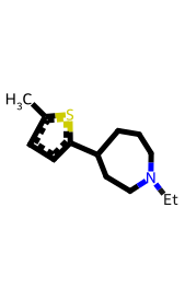 CCN1CCCC(c2ccc(C)s2)CC1